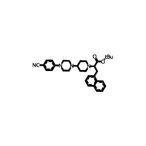 CC(C)(C)OC(=O)C(Cc1cccc2ccccc12)N1CCC(N2CCN(c3ccc(C#N)cc3)CC2)CC1